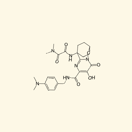 CN(C)C(=O)C(=O)NC12CCC(CC1)Cn1c2nc(C(=O)NCc2ccc(N(C)C)cc2)c(O)c1=O